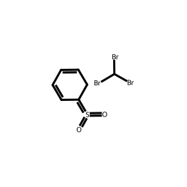 BrC(Br)Br.O=S(=O)=C1C=CC=CC1